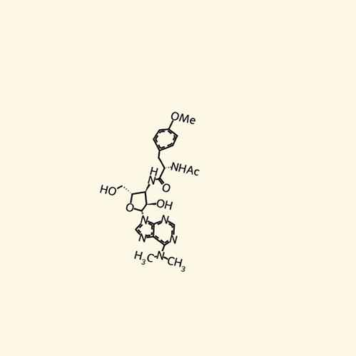 COc1ccc(C[C@H](NC(C)=O)C(=O)N[C@H]2[C@@H](O)[C@H](n3cnc4c(N(C)C)ncnc43)O[C@@H]2CO)cc1